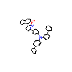 c1ccc(-c2ccc(N(c3ccc(-c4ccc5c(n4)oc4ccc6ccccc6c45)cc3)c3cccc(-c4ccccc4)c3)cc2)cc1